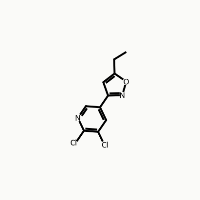 CCc1cc(-c2cnc(Cl)c(Cl)c2)no1